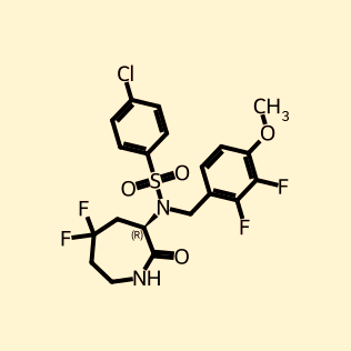 COc1ccc(CN([C@@H]2CC(F)(F)CCNC2=O)S(=O)(=O)c2ccc(Cl)cc2)c(F)c1F